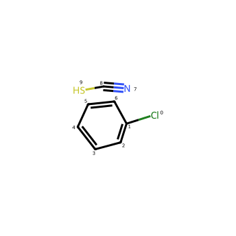 Clc1ccccc1.N#CS